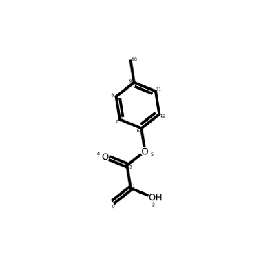 C=C(O)C(=O)Oc1ccc(C)cc1